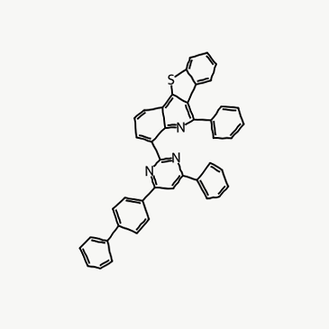 c1ccc(-c2ccc(-c3cc(-c4ccccc4)nc(-c4cccc5c4nc(-c4ccccc4)c4c6ccccc6sc54)n3)cc2)cc1